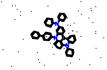 C1=C2C3=C(CC1)N(c1ccccc1)c1ccccc1B3c1ccc(N(c3ccccc3)c3ccccc3)cc1N2c1ccc(-c2ccccc2)cc1